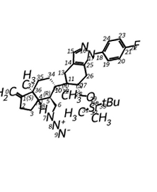 C=C1CC[C@H]2[C@H](CN=[N+]=[N-])[C@@H]([C@@]3(C)Cc4cnn(-c5ccc(F)cc5)c4C[C@@H]3CO[Si](C)(C)C(C)(C)C)CC[C@]12C